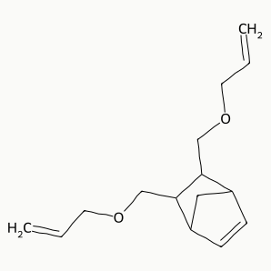 C=CCOCC1C2C=CC(C2)C1COCC=C